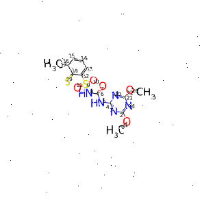 COc1nc(NC(=O)NS(=O)(=O)C2=CC=CC(C)C2=S)nc(OC)n1